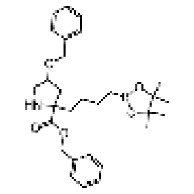 CC1(C)OB(CCCCC2(C(=O)OCc3ccccc3)CC(OCc3ccccc3)CN2)OC1(C)C